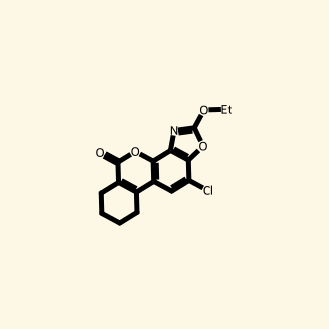 CCOc1nc2c(o1)c(Cl)cc1c3c(c(=O)oc12)CCCC3